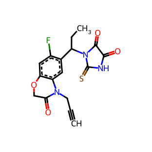 C#CCN1C(=O)COc2cc(F)c(C(CC)N3C(=O)C(=O)NC3=S)cc21